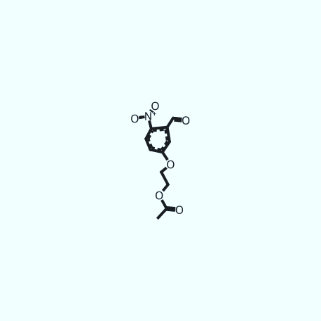 CC(=O)OCCOc1ccc([N+](=O)[O-])c(C=O)c1